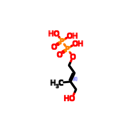 C/C(=C\COP(=O)(O)P(=O)(O)O)CO